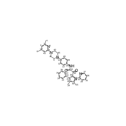 Cc1cc(C)nc(N2CCN(c3ccc(NC(=O)C(=O)c4c(-c5ccccc5)c(C)c(C)n4-c4ccccn4)cc3)CC2)c1